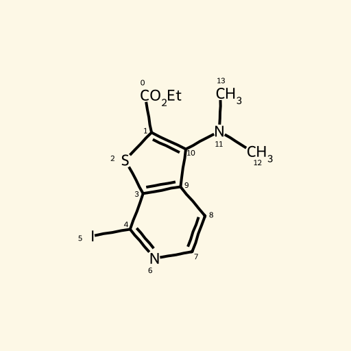 CCOC(=O)c1sc2c(I)nccc2c1N(C)C